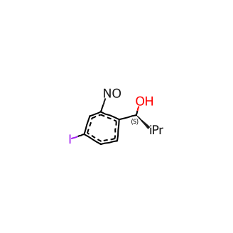 CC(C)[C@H](O)c1ccc(I)cc1N=O